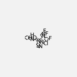 O[C@]1(CNCc2ccccc2)CC2=C(c3ccn(C(F)F)n3)[C@H](c3ccc(F)cc3Cl)N=C(c3nccs3)N2C1